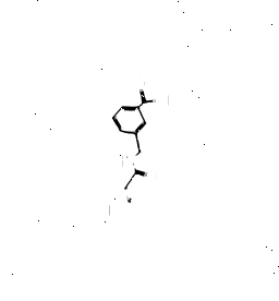 COCC(=O)NCc1cccc(C(=O)O)c1